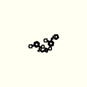 CN(CC1CC(Oc2ccc(CN3CCCC3)c(Cl)c2)C1)C(=O)c1cccc(Cl)c1